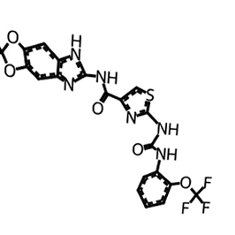 O=C(Nc1nc(C(=O)Nc2nc3cc4c(cc3[nH]2)OC(F)(F)O4)cs1)Nc1ccccc1OC(F)(F)F